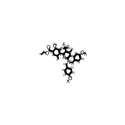 CCOC(=O)C1CC(C)C(c2nc(N(Cc3ccc(OC)cc3)Cc3ccc(OC)cc3)cc(C)c2C(F)(F)F)=CC1=O